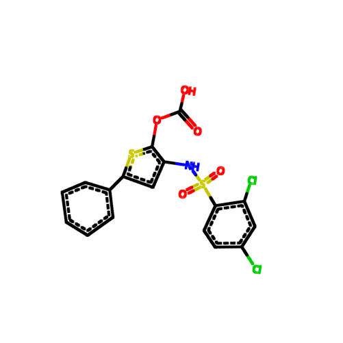 O=C(O)Oc1sc(-c2ccccc2)cc1NS(=O)(=O)c1ccc(Cl)cc1Cl